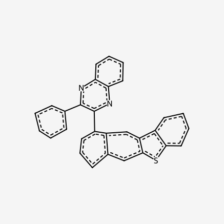 c1ccc(-c2nc3ccccc3nc2-c2cccc3cc4sc5ccccc5c4cc23)cc1